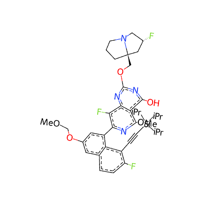 COCOc1cc(-c2nc(OC)c3c(O)nc(OC[C@@]45CCCN4C[C@H](F)C5)nc3c2F)c2c(C#C[Si](C(C)C)(C(C)C)C(C)C)c(F)ccc2c1